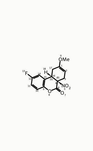 COC1=CC[C@]2([N+](=O)[O-])C(=O)Oc3ccc(F)cc3[C@@H]2C1